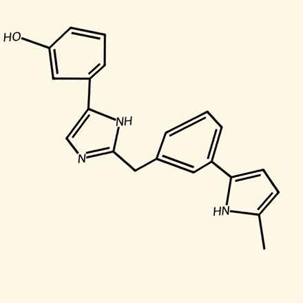 Cc1ccc(-c2cccc(Cc3ncc(-c4cccc(O)c4)[nH]3)c2)[nH]1